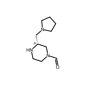 O=CN1CCN[C@H](CN2CCCC2)C1